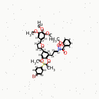 COc1ccccc1C(=O)N(O)/C=C/Cc1cc(C2CCC(c3cc(OC)c(OC)c(OC)c3)O2)cc(OC)c1OC(C)Sc1ccc(Br)cc1